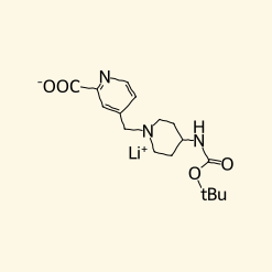 CC(C)(C)OC(=O)NC1CCN(Cc2ccnc(C(=O)[O-])c2)CC1.[Li+]